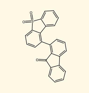 O=C1c2ccccc2-c2cccc(-c3cccc4c3-c3ccccc3S4(=O)=O)c21